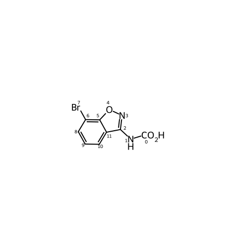 O=C(O)Nc1noc2c(Br)cccc12